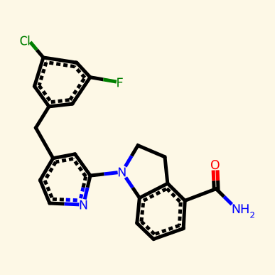 NC(=O)c1cccc2c1CCN2c1cc(Cc2cc(F)cc(Cl)c2)ccn1